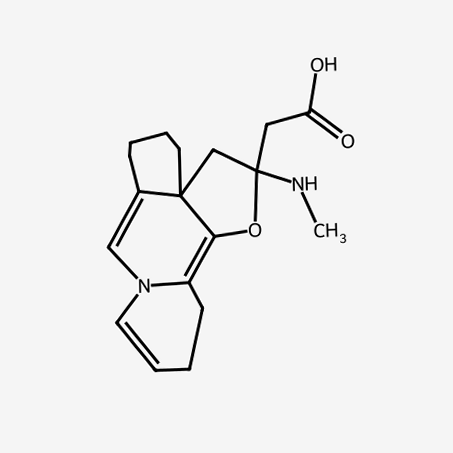 CNC1(CC(=O)O)CC23CCCCC2=CN2C=CCCC2=C3O1